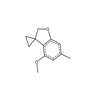 COc1cc(C)cc2c1C1(CC1)CO2